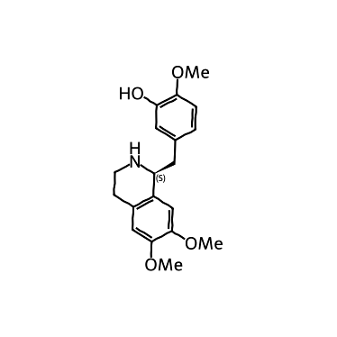 COc1ccc(C[C@@H]2NCCc3cc(OC)c(OC)cc32)cc1O